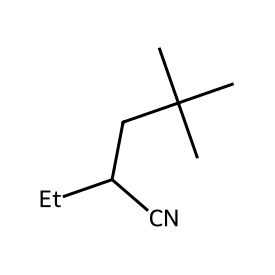 CCC(C#N)CC(C)(C)C